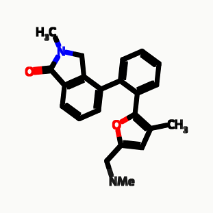 CNCc1cc(C)c(-c2ccccc2-c2cccc3c2CN(C)C3=O)o1